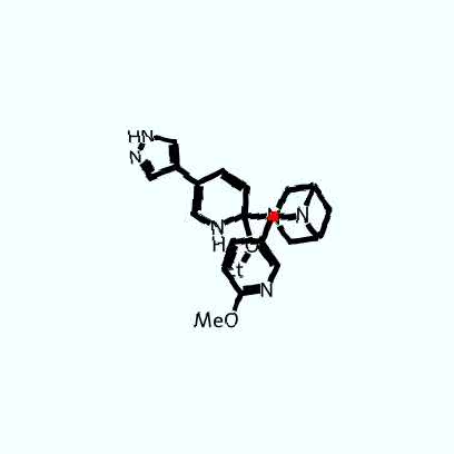 CCOC1(N2CC3CC(C2)N3Cc2ccc(OC)nc2)C=CC(c2cn[nH]c2)=CN1